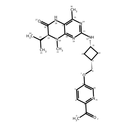 CC(=O)c1ccc(OC[C@H]2C[C@@H](Nc3nc(C)c4c(n3)N(C)[C@@H](C(C)C)C(=O)N4)C2)cn1